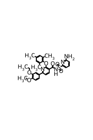 CCOc1cc(-c2ccc(C(=O)NS(=O)(=O)c3cccc(N)n3)c(Oc3c(C)cc(C)cc3C)n2)ccc1OC